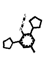 Cc1cc(C2CCCC2)c(N=C=S)c(C2CCCC2)c1